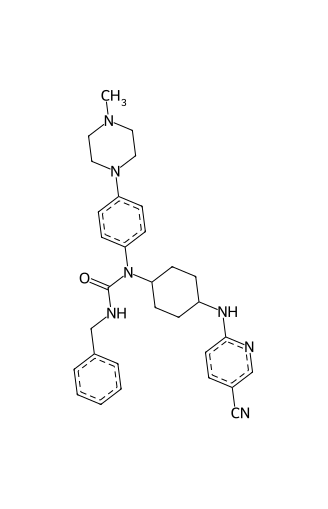 CN1CCN(c2ccc(N(C(=O)NCc3ccccc3)C3CCC(Nc4ccc(C#N)cn4)CC3)cc2)CC1